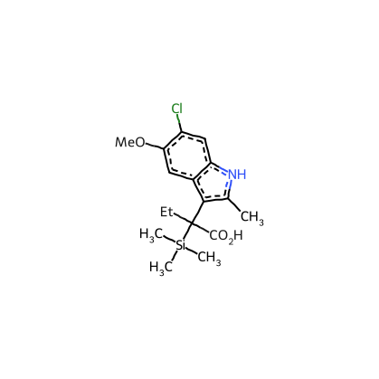 CCC(C(=O)O)(c1c(C)[nH]c2cc(Cl)c(OC)cc12)[Si](C)(C)C